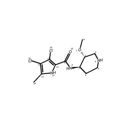 CO[C@@H]1CNCC[C@H]1NC(=O)c1[nH]c(C)c(Cl)c1Cl